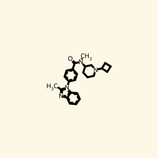 Cc1nc2ccccc2n1-c1ccc(C(=O)N(C)C2CCCN(C3CCC3)C2)cc1